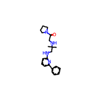 CC(C)(CNc1cccc(-c2ccccc2)n1)NCC(=O)N1CCCC1